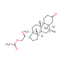 CC(=O)OCC(=O)[C@H]1CC[C@H]2[C@@H]3C[C@H](Br)[C@@H]4CC(=O)CC[C@]4(C)[C@H]3CC[C@]12C